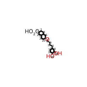 O=C(O)c1ccc2cc(OCCCCc3ccc(O)c(O)c3)ccc2c1